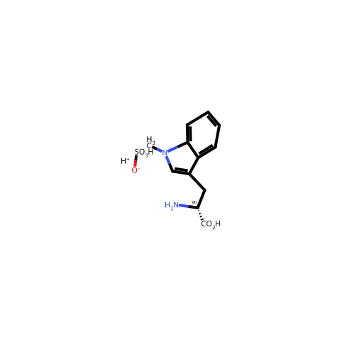 Cn1cc(C[C@@H](N)C(=O)O)c2ccccc21.O=S(=O)([O-])O.[H+]